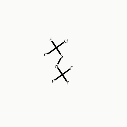 FC(F)(F)[N]SC(F)(Cl)Cl